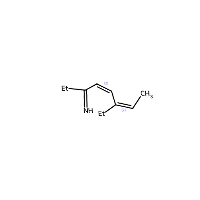 C/C=C(\C=C/C(=N)CC)CC